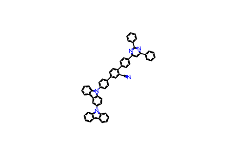 N#Cc1cc(-c2ccc(-n3c4ccccc4c4cc(-n5c6ccccc6c6ccccc65)ccc43)cc2)ccc1-c1ccc(-c2cc(-c3ccccc3)nc(-c3ccccc3)n2)cc1